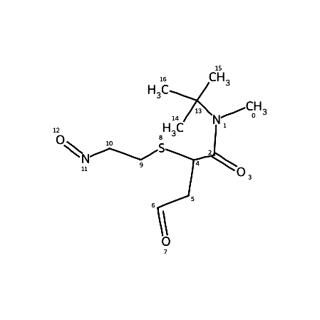 CN(C(=O)C(CC=O)SCCN=O)C(C)(C)C